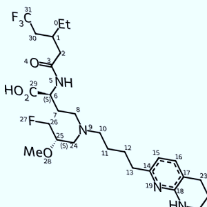 CCC(CC(=O)N[C@@H](CCN(CCCCc1ccc2c(n1)NCCC2)C[C@@H](CF)OC)C(=O)O)CC(F)(F)F